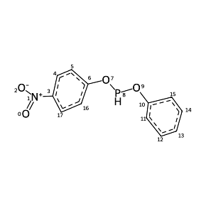 O=[N+]([O-])c1ccc(OPOc2ccccc2)cc1